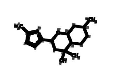 Cc1ccc(C2CC(C)(O)C3CCC(C)CC3O2)s1